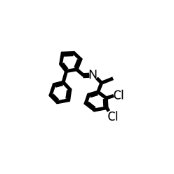 CC(/N=C/c1ccccc1-c1ccccc1)c1cccc(Cl)c1Cl